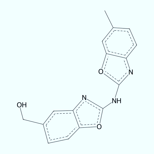 Cc1ccc2nc(Nc3nc4cc(CO)ccc4o3)oc2c1